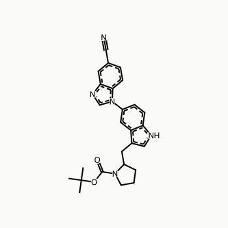 CC(C)(C)OC(=O)N1CCCC1Cc1c[nH]c2ccc(-n3cnc4cc(C#N)ccc43)cc12